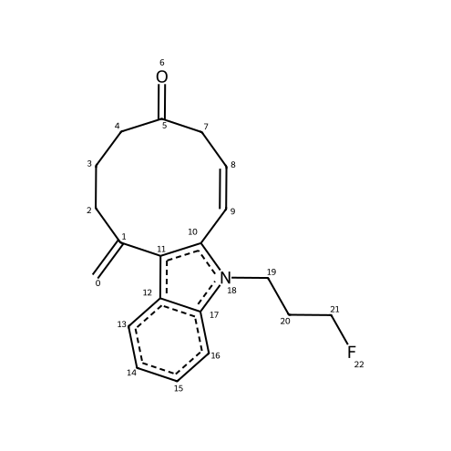 C=C1CCCC(=O)C/C=C\c2c1c1ccccc1n2CCCF